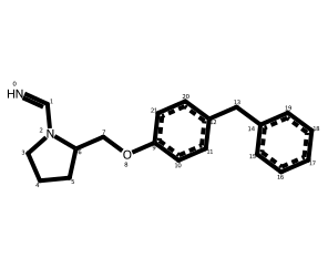 N=CN1CCCC1COc1ccc(Cc2ccccc2)cc1